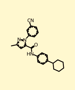 Cc1cc(C(=O)Nc2ccc(C3CCCCC3)cc2)n(-c2cccc(C#N)c2)n1